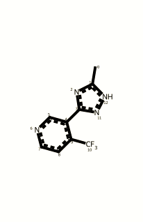 Cc1nc(-c2cnccc2C(F)(F)F)n[nH]1